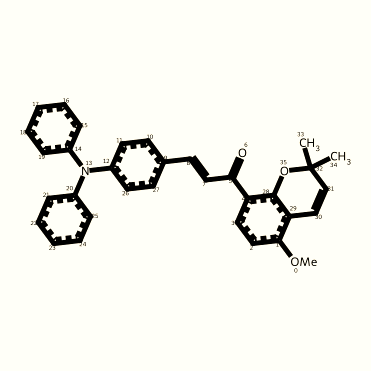 COc1ccc(C(=O)C=Cc2ccc(N(c3ccccc3)c3ccccc3)cc2)c2c1C=CC(C)(C)O2